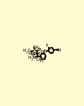 C=C(N)N(C)C(=O)C(C)(C)[C@](C)(N)c1cc(Nc2ccc(C#N)cc2F)ccc1F